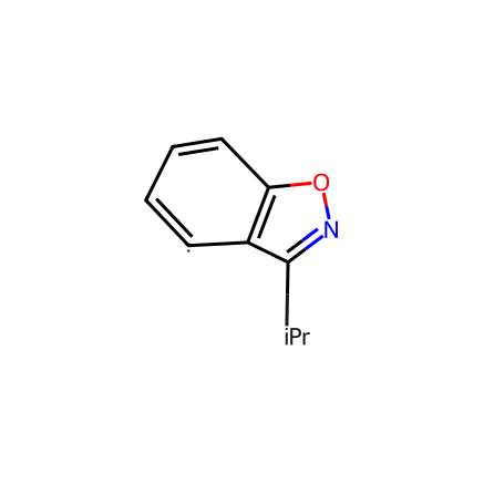 CC(C)c1noc2ccc[c]c12